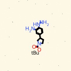 CC(C)(C)OC(=O)N1CCC(c2ccc(NN)c(N)c2)C1